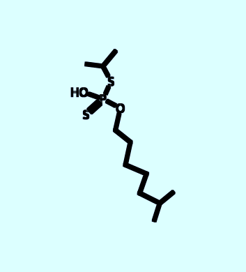 CC(C)CCCCCOP(O)(=S)SC(C)C